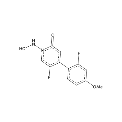 COc1ccc(-c2cc(=O)n(NO)cc2F)c(F)c1